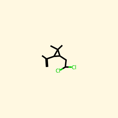 C=C(C)C1C(CC(Cl)Cl)C1(C)C